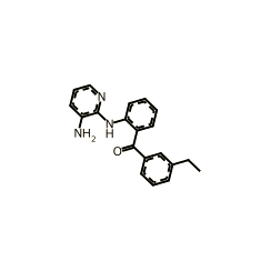 CCc1cccc(C(=O)c2ccccc2Nc2ncccc2N)c1